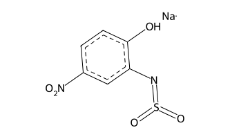 O=[N+]([O-])c1ccc(O)c(N=S(=O)=O)c1.[Na]